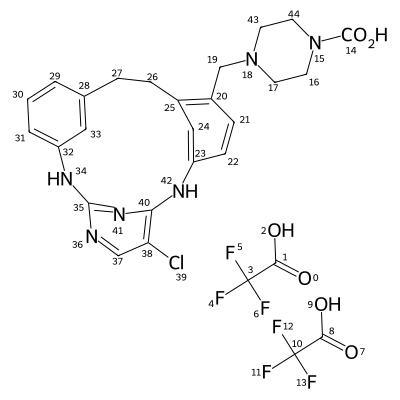 O=C(O)C(F)(F)F.O=C(O)C(F)(F)F.O=C(O)N1CCN(Cc2ccc3cc2CCc2cccc(c2)Nc2ncc(Cl)c(n2)N3)CC1